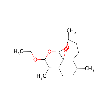 CCOC1OC2OC3(C)CCC4C(C)CCC(C1C)C24OO3